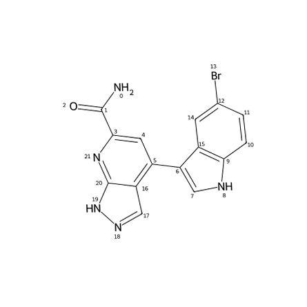 NC(=O)c1cc(-c2c[nH]c3ccc(Br)cc23)c2cn[nH]c2n1